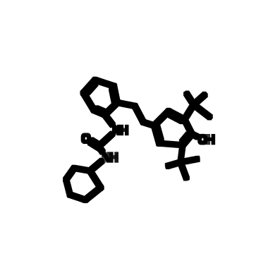 CC(C)(C)c1cc(CCc2ccccc2NC(=O)NC2CCCCC2)cc(C(C)(C)C)c1O